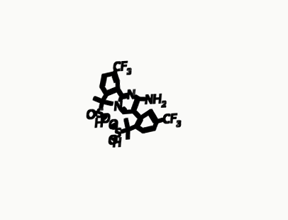 CC(C)(c1ccc(C(F)(F)F)cc1-c1ncc(-c2cc(C(F)(F)F)ccc2C(C)(C)[SH](=O)=O)c(N)n1)[SH](=O)=O